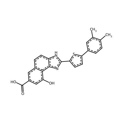 Cc1ccc(-c2ccc(-c3nc4c(ccc5cc(C(=O)O)cc(O)c54)[nH]3)s2)cc1C